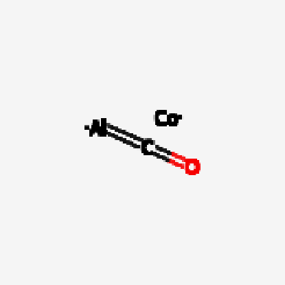 O=[C]=[Al].[Co]